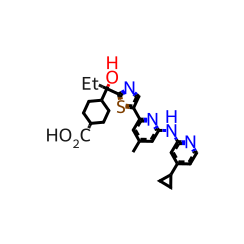 CCC(O)(c1ncc(-c2cc(C)cc(Nc3cc(C4CC4)ccn3)n2)s1)C1CCC(C(=O)O)CC1